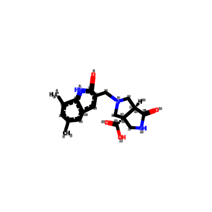 Cc1cc(C)c2[nH]c(=O)c(CN3C[C@H]4C(=O)NC[C@@]4(C(=O)O)C3)cc2c1